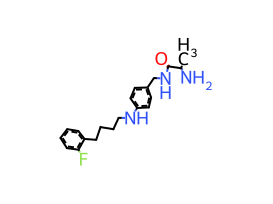 CC(N)C(=O)NCc1ccc(NCCCCc2ccccc2F)cc1